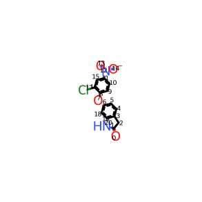 O=C1Cc2ccc(Oc3ccc([N+](=O)[O-])cc3Cl)cc2N1